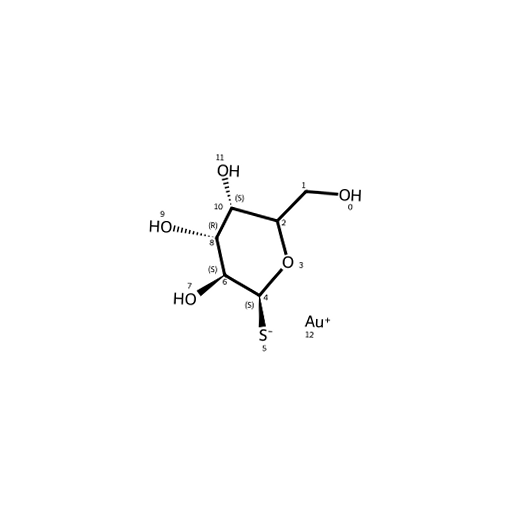 OCC1O[C@@H]([S-])[C@@H](O)[C@H](O)[C@@H]1O.[Au+]